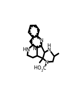 CC1CN(C(=O)O)C(C)(C2CCNCC2)C(c2ncc3ccccc3n2)N1